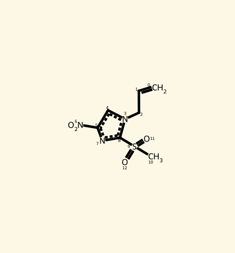 C=CCn1cc([N+](=O)[O-])nc1S(C)(=O)=O